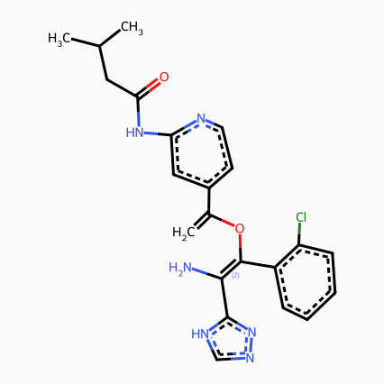 C=C(O/C(=C(\N)c1nnc[nH]1)c1ccccc1Cl)c1ccnc(NC(=O)CC(C)C)c1